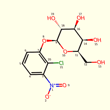 O=[N+]([O-])c1cccc(O[C@@H]2O[C@H](CO)[C@H](O)[C@H](O)[C@H]2O)c1Cl